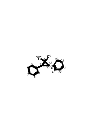 FC1(F)C(c2ccccc2)[C@H]1c1ccccc1